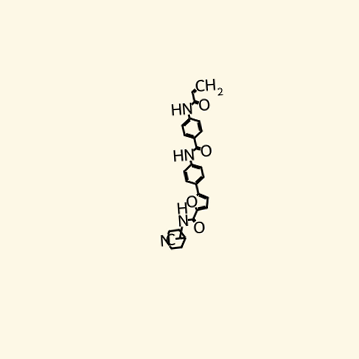 C=CC(=O)Nc1ccc(C(=O)Nc2ccc(-c3ccc(C(=O)NC4CN5CCC4CC5)o3)cc2)cc1